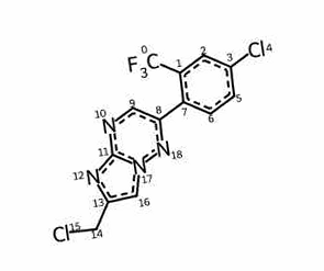 FC(F)(F)c1cc(Cl)ccc1-c1cnc2nc(CCl)cn2n1